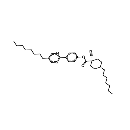 CCCCCCCCc1cnc(-c2ccc(OC(=O)[C@]3(C#N)CC[C@H](CCCCCCC)CC3)cc2)nc1